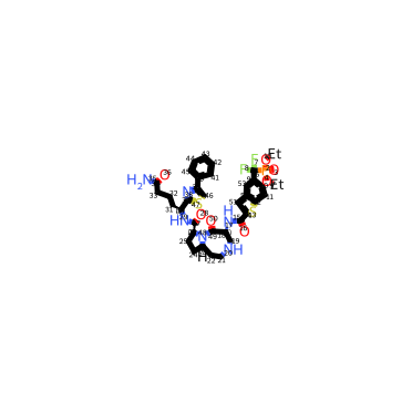 CCOP(=O)(OCC)C(F)(F)c1ccc2sc(C(=O)N[C@H]3CNCC[C@H]4CC[C@@H](C(=O)N[C@@H](CCCC(N)=O)c5nc(-c6ccccc6)cs5)N4C3=O)cc2c1